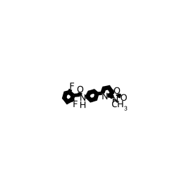 Cn1c(=O)oc2ccc(-c3ccc(NC(=O)c4c(F)cccc4F)cc3)nc21